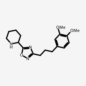 COc1ccc(CCCc2noc(C3CCCCN3)n2)cc1OC